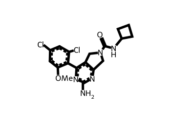 COc1cc(Cl)cc(Cl)c1-c1nc(N)nc2c1CN(C(=O)NC1CCC1)C2